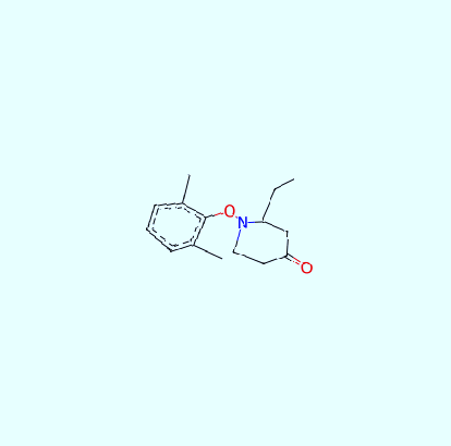 CCC1CC(=O)CCN1Oc1c(C)cccc1C